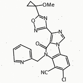 COC1(c2nc(-c3ncn4c3c(=O)n(Cc3ccccn3)c3c(C#N)c(Cl)ccc34)no2)CC1